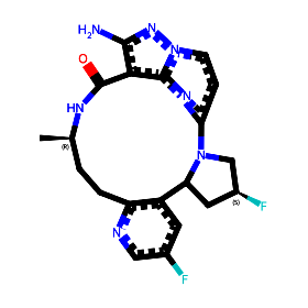 C[C@@H]1CCc2ncc(F)cc2C2C[C@H](F)CN2c2ccn3nc(N)c(c3n2)C(=O)N1